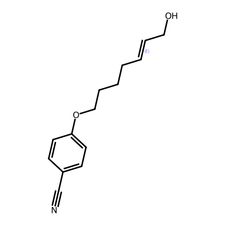 N#Cc1ccc(OCCCC/C=C/CO)cc1